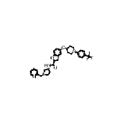 O=C(N[C@@H]1CCN(Cc2ccccn2)C1)C1Cc2cc(OC3CCN(c4ccc(C(F)(F)F)cc4)CC3)ccc2O1